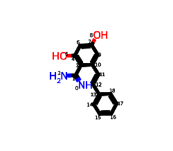 N=C(N)c1c(O)cc(O)cc1/C=C/c1ccccc1